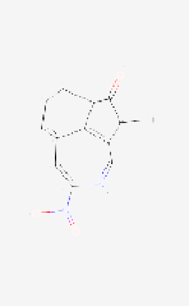 CC1C(=O)C2CCC=C3C=C([N+](=O)[O-])N=CC1=C32